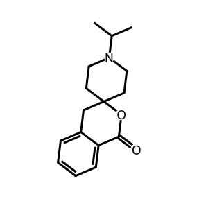 CC(C)N1CCC2(CC1)Cc1ccccc1C(=O)O2